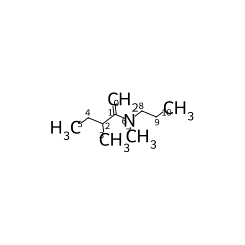 C=C(C(C)CC)N(C)CCC